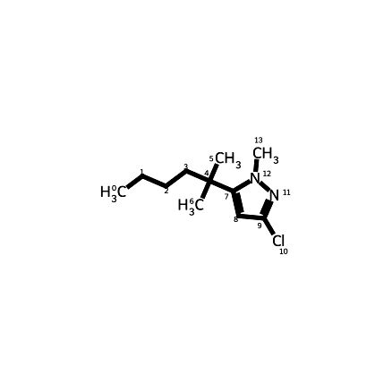 CCCCC(C)(C)c1cc(Cl)nn1C